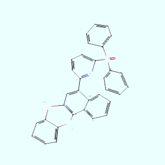 O=P(c1ccccc1)(c1ccccc1)c1cccc(-c2cc3c(c4ccccc24)Oc2ccccc2O3)n1